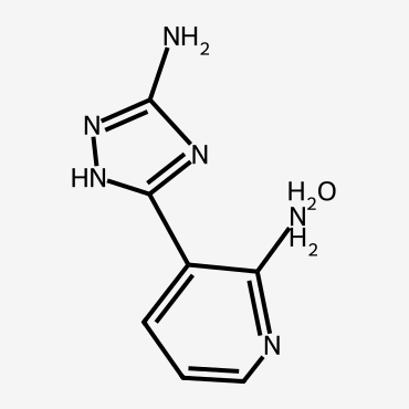 Nc1n[nH]c(-c2cccnc2N)n1.O